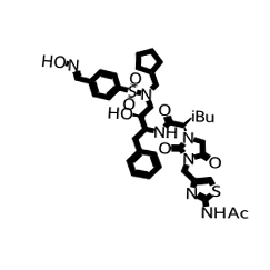 CC[C@H](C)[C@@H](C(=O)NC(Cc1ccccc1)[C@@H](O)CN(CC1CCCC1)S(=O)(=O)c1ccc(C=NO)cc1)N1CC(=O)N(Cc2csc(NC(C)=O)n2)C1=O